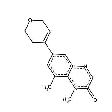 Cc1cc(C2=CCOCC2)cc2ncc(=O)n(C)c12